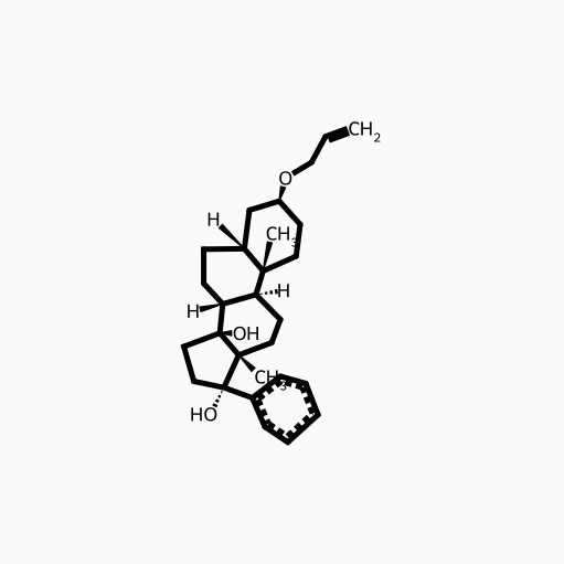 C=CCO[C@H]1CC[C@@]2(C)[C@H](CC[C@@H]3[C@@H]2CC[C@]2(C)[C@@](O)(c4ccccc4)CC[C@]32O)C1